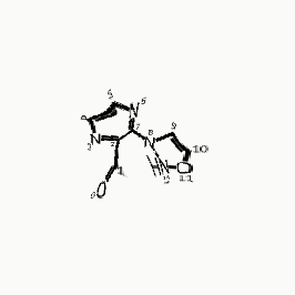 O=Cc1nccnc1N1C=CON1